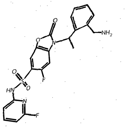 CC(c1ccccc1CN)n1c(=O)oc2cc(S(=O)(=O)Nc3cccc(F)n3)c(F)cc21